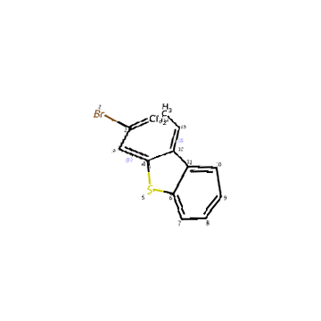 C=C(Br)/C=c1/sc2ccccc2/c1=C/C